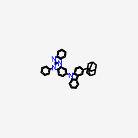 c1ccc(-n2c3ccc(-n4c5ccccc5c5cc(C67CC8CC(CC(C8)C6)C7)ccc54)cc3n3c4ccccc4nc23)cc1